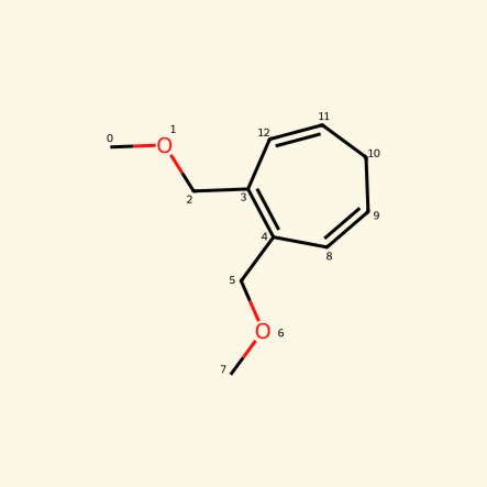 COCC1=C(COC)C=CCC=C1